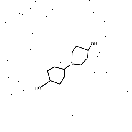 OC1CCC(N2CCC(O)CC2)CC1